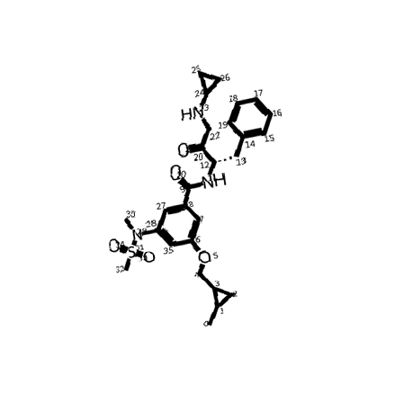 CC1CC1COc1cc(C(=O)N[C@@H](Cc2ccccc2)C(=O)CNC2CC2)cc(N(C)S(C)(=O)=O)c1